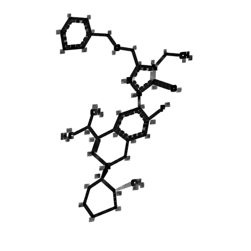 CCn1c(COCc2ccccc2)nn(-c2cc3c(cc2F)CN([C@@H]2CCCC[C@H]2C)C=C3C(C)C)c1=O